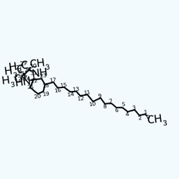 CCCCCCCCCCCCCCCCCCC1CCCC2(C1)NC(C)(C)C(C)(C)N2